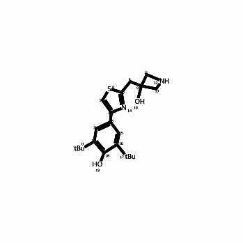 CC(C)(C)c1cc(-c2csc(CC3(O)CNC3)n2)cc(C(C)(C)C)c1O